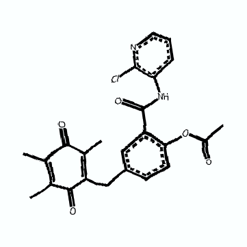 CC(=O)Oc1ccc(CC2=C(C)C(=O)C(C)=C(C)C2=O)cc1C(=O)Nc1cccnc1Cl